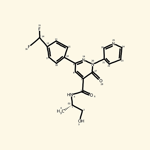 C[C@@H](CO)NC(=O)c1cc(-c2ccc(C(F)F)cc2)nn(-c2cccnc2)c1=O